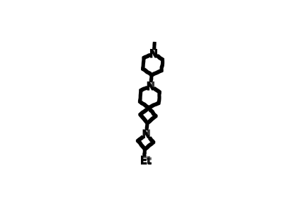 CCC1CN(C2CC3(CCN(C4CCN(C)CC4)CC3)C2)C1